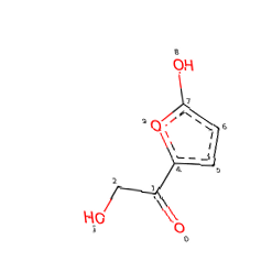 O=C(CO)c1ccc(O)o1